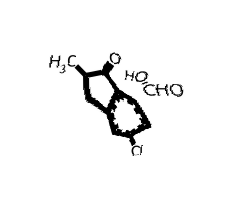 CC1Cc2cc(Cl)ccc2C1=O.O=CO